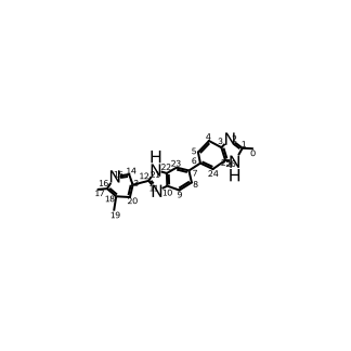 Cc1nc2ccc(-c3ccc4nc(-c5cnc(C)c(C)c5)[nH]c4c3)cc2[nH]1